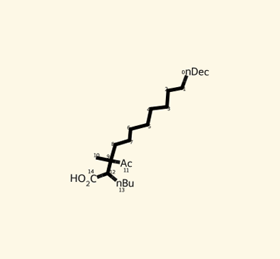 CCCCCCCCCCCCCCCCCCC(C)(C(C)=O)C(CCCC)C(=O)O